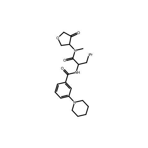 CC(C)CC(NC(=O)c1cccc(N2CCCCC2)c1)C(=O)N(C)C1COCC1=O